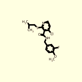 COc1ccc(CNC(=O)c2c(Cl)ccnc2SCC(C)C)cc1F